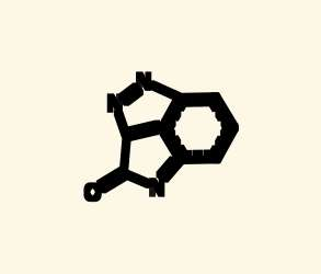 O=C1N=c2cccc3c2=C1N=N3